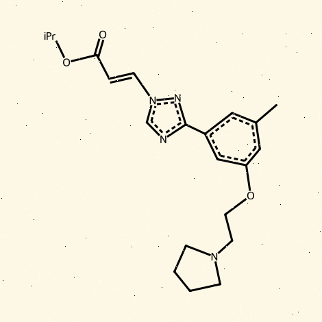 Cc1cc(OCCN2CCCC2)cc(-c2ncn(/C=C/C(=O)OC(C)C)n2)c1